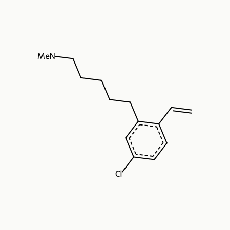 C=Cc1ccc(Cl)cc1CCCCCNC